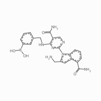 NCc1cc2c(C(N)=O)cccc2n1-c1ncc(C(N)=O)c(NCc2cccc(B(O)O)c2)n1